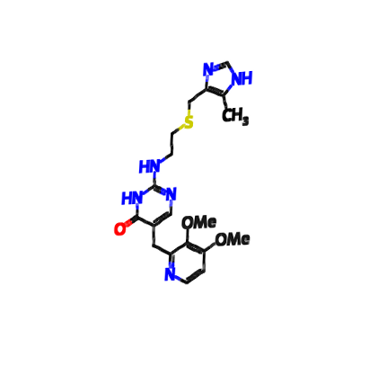 COc1ccnc(Cc2cnc(NCCSCc3nc[nH]c3C)[nH]c2=O)c1OC